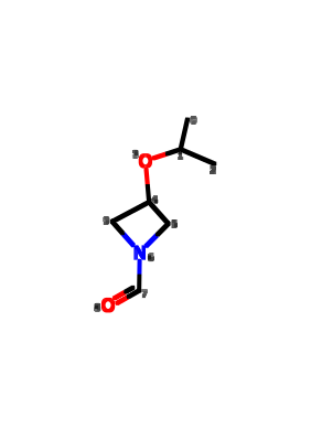 CC(C)OC1CN(C=O)C1